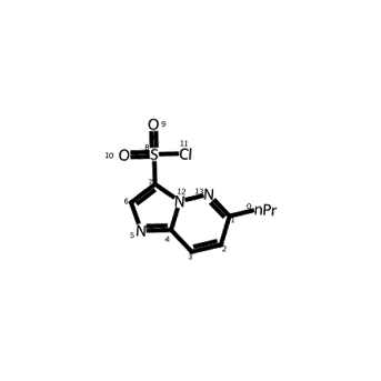 CCCc1ccc2ncc(S(=O)(=O)Cl)n2n1